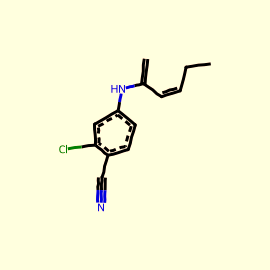 C=C(/C=C\CC)Nc1ccc(C#N)c(Cl)c1